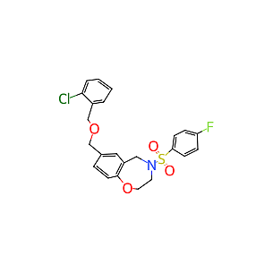 O=S(=O)(c1ccc(F)cc1)N1CCOc2ccc(COCc3ccccc3Cl)cc2C1